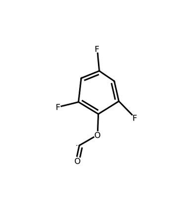 O=[C]Oc1c(F)cc(F)cc1F